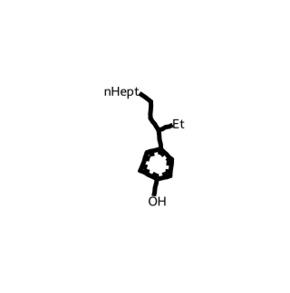 CCCCCCCCCC(CC)c1ccc(O)cc1